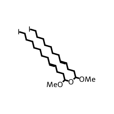 COC(CCC=CCCCCCCCI)OC(CCC=CCCCCCCCI)OC